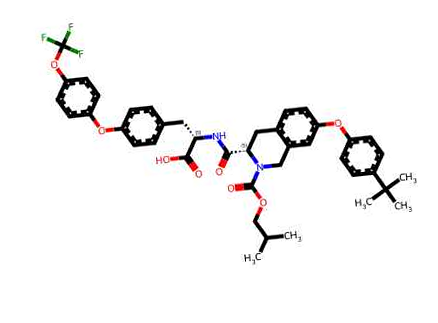 CC(C)COC(=O)N1Cc2cc(Oc3ccc(C(C)(C)C)cc3)ccc2C[C@H]1C(=O)N[C@@H](Cc1ccc(Oc2ccc(OC(F)(F)F)cc2)cc1)C(=O)O